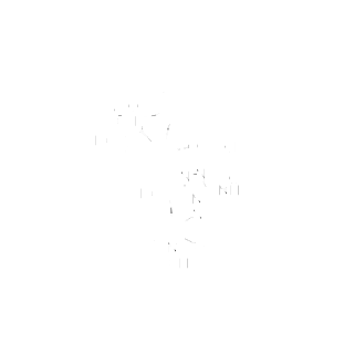 CNc1n[n+](CC(=O)c2cc(OCCO)c(OC)c(C(C)(C)C)c2)c2c(C)cc(C(=O)N(C)C)nn12.[Cl-]